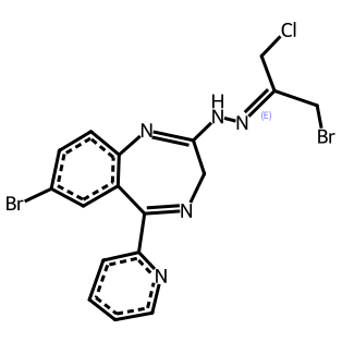 ClC/C(CBr)=N\NC1=Nc2ccc(Br)cc2C(c2ccccn2)=NC1